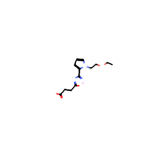 CCOCCn1cccc1-c1noc(CCC(=O)O)n1